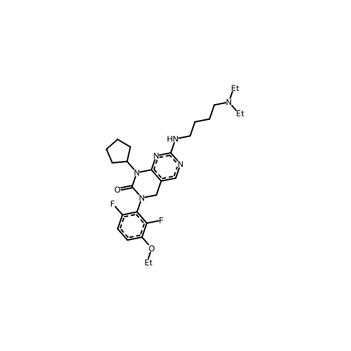 CCOc1ccc(F)c(N2Cc3cnc(NCCCCN(CC)CC)nc3N(C3CCCC3)C2=O)c1F